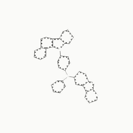 c1ccc(N(c2ccc(-n3c4ccccc4c4ccc5ccccc5c43)cc2)c2ccc3oc4ncccc4c3c2)cc1